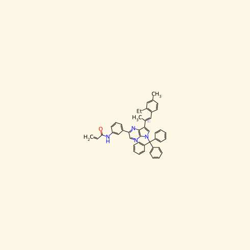 C=CC(=O)Nc1cccc(-c2cnc3c(n2)c(/C(C)=C/c2ccc(C)cc2CC)cn3C(c2ccccc2)(c2ccccc2)c2ccccc2)c1